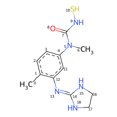 Cc1ccc(N(C)C(=O)NS)cc1N=C1NCCN1